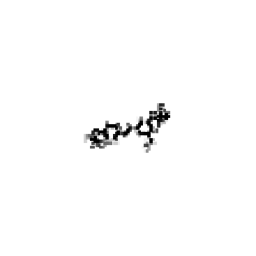 O=Cc1cc(/C=C/c2ccc3c(c2)OC(F)(F)O3)cc(OC(F)(F)F)c1